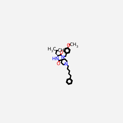 COc1ccc(CN2C(=O)[C@H](CC(C)C)NC(=O)C23CCN(CCCCCc2ccccc2)CC3)cc1